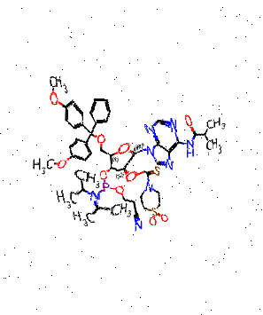 COc1ccc(C(OC[C@H]2O[C@@H](n3cnc4c(NC(=O)C(C)C)ncnc43)[C@@H](OC(=S)N3CCS(=O)(=O)CC3)C2OP(OCCC#N)N(C(C)C)C(C)C)(c2ccccc2)c2ccc(OC)cc2)cc1